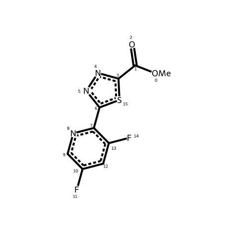 COC(=O)c1nnc(-c2ncc(F)cc2F)s1